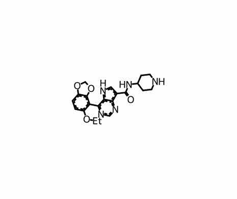 CCOc1ccc2c(c1-c1ncnc3c(C(=O)NC4CCNCC4)c[nH]c13)OCO2